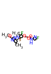 COCc1cnc2c(-c3nc4c(C)c(F)c(OCCOC(=O)Nc5ccc(F)nc5)cc4s3)cc(C)cc2n1